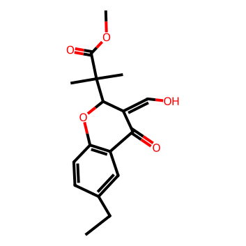 CCc1ccc2c(c1)C(=O)C(=CO)C(C(C)(C)C(=O)OC)O2